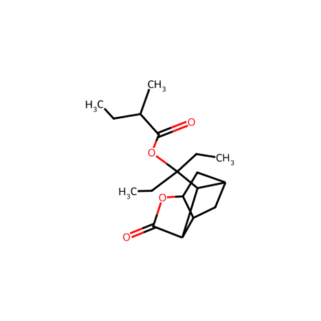 CCC(C)C(=O)OC(CC)(CC)C1C2CC3OC(=O)C1C3C2